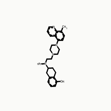 CCCN(CCN1CCN(c2ccc(C)c3ncccc23)CC1)C1CCc2c(O)cccc2C1